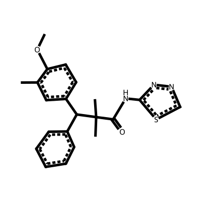 COc1ccc(C(c2ccccc2)C(C)(C)C(=O)Nc2nncs2)cc1C